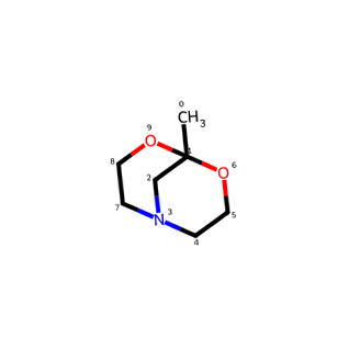 CC12CN(CCO1)CCO2